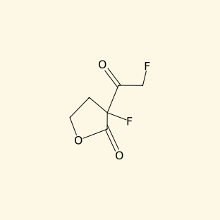 O=C(CF)C1(F)CCOC1=O